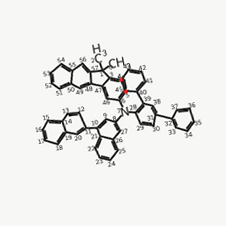 CC1(C)c2ccc(N(c3cc(-c4ccc5ccccc5c4)c4ccccc4c3)c3ccc(-c4ccccc4)cc3-c3ccccc3)cc2-c2cc3ccccc3cc21